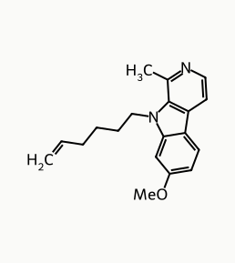 C=CCCCCn1c2cc(OC)ccc2c2ccnc(C)c21